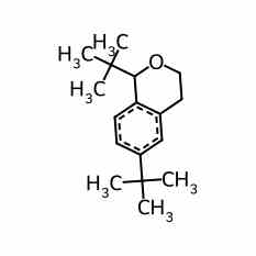 CC(C)(C)c1ccc2c(c1)CCOC2C(C)(C)C